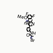 CCC/C=C(\c1cc(-c2cccc(NC(=O)/C(C)=C/Br)c2)cnc1C)c1cc(F)cc(F)c1OC